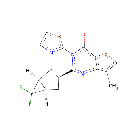 Cc1csc2c(=O)n(-c3nccs3)c([C@H]3C[C@@H]4[C@H](C3)C4(F)F)nc12